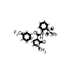 CC(C)S(=O)(=O)c1ccccc1NC(=O)[C@H]1C(=O)N(C)C[C@@H]1c1ccc(C(F)(F)F)cc1